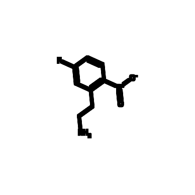 NCCc1cc(F)ccc1[N+](=O)[O-]